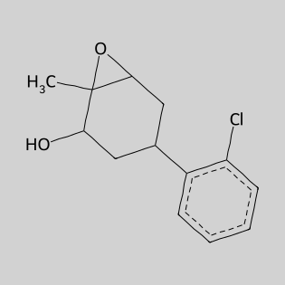 CC12OC1CC(c1ccccc1Cl)CC2O